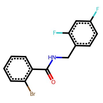 O=C(NCc1ccc(F)cc1F)c1ccccc1Br